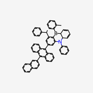 Cc1ccccc1B1c2c(C(C)c3ccccc3)cc(-c3c4ccccc4c(-c4ccc5ccccc5c4)c4ccccc34)cc2N(c2ccccc2)C2C=CC=CC12